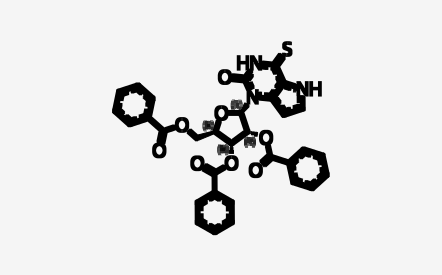 O=C(OC[C@H]1O[C@@H](n2c(=O)[nH]c(=S)c3[nH]ccc32)[C@H](OC(=O)c2ccccc2)[C@@H]1OC(=O)c1ccccc1)c1ccccc1